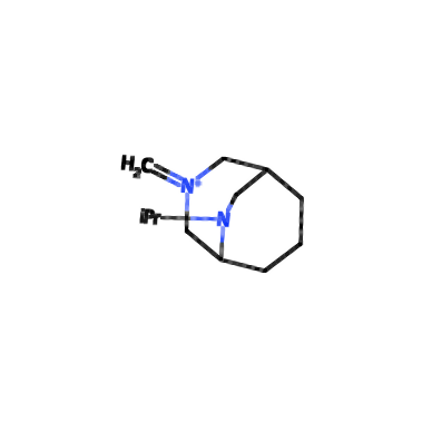 C=[N+]1CC2CCCC(C1)N(C(C)C)C2